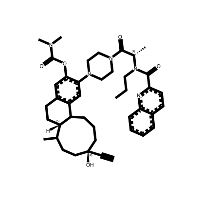 C#C[C@@]1(O)CCCC2c3cc(N4CCN(C(=O)[C@H](C)N(CCC)C(=O)c5ccc6ccccc6n5)CC4)c(OC(=O)N(C)C)cc3CC[C@H]2C(C)CC1